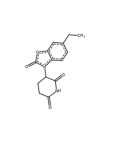 CCc1ccc2c(c1)oc(=O)n2C1CCC(=O)NC1=O